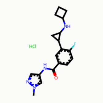 Cl.Cn1cc(NC(=O)c2ccc(F)c(C3CC3NC3CCC3)c2)cn1